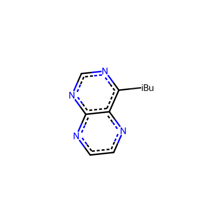 CCC(C)c1ncnc2nccnc12